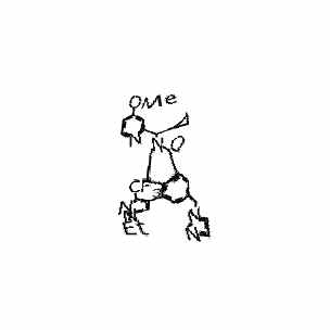 CCn1cc(-c2cc(Cn3ccnc3)cc3c2CCN(C(c2cc(OC)ccn2)C2CC2)C3=O)c(C(F)(F)F)n1